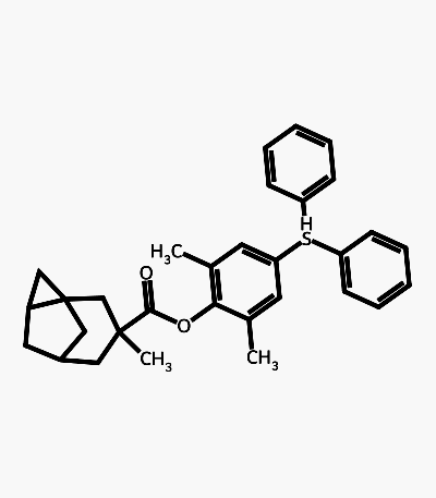 Cc1cc([SH](c2ccccc2)c2ccccc2)cc(C)c1OC(=O)C1(C)CC2CC3CC3(C2)C1